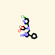 O=C1C=C(N(Cc2ccc(Cl)nc2)Cc2n[nH]cc2-c2ccccc2)CO1